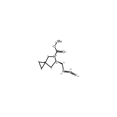 CC(C)(C)OC(=O)N1CC2(CC2)C[C@@H]1CN=[N+]=[N-]